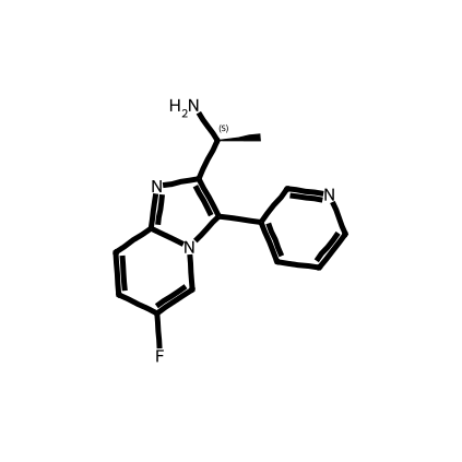 C[C@H](N)c1nc2ccc(F)cn2c1-c1cccnc1